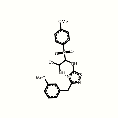 CCC(N)C(Nc1nc(Cc2cccc(OC)c2)ns1)S(=O)(=O)c1ccc(OC)cc1